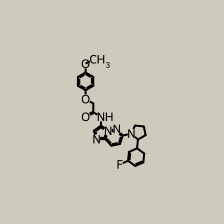 COc1ccc(OCC(=O)Nc2cnc3ccc(N4CCCC4C4C=C(F)C=CC4)nn23)cc1